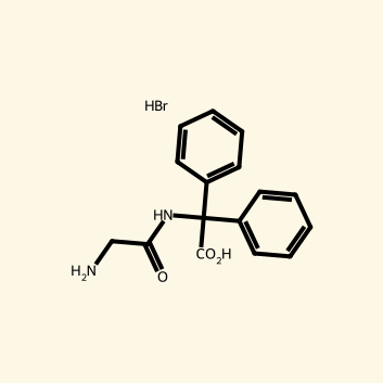 Br.NCC(=O)NC(C(=O)O)(c1ccccc1)c1ccccc1